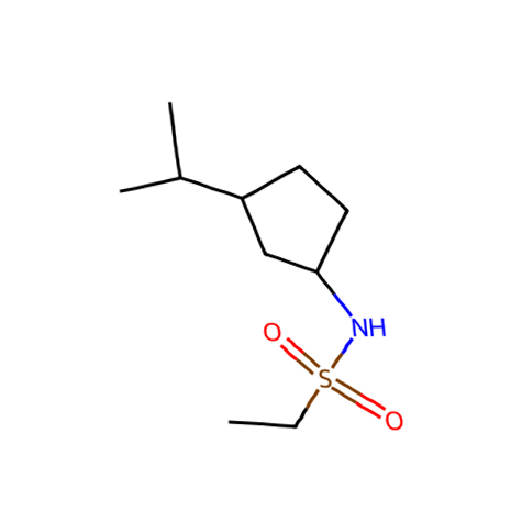 CCS(=O)(=O)NC1CCC(C(C)C)C1